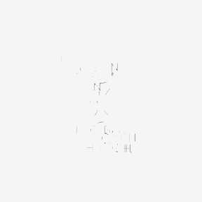 Cc1cc(Oc2ccc(C#N)c(OCCOC3CCCCO3)n2)ccc1B1OC(C)(C)C(C)(C)O1